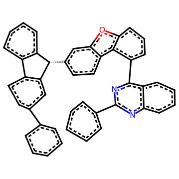 c1ccc(-c2ccc3c(c2)[C@@H](c2ccc4c(c2)oc2cccc(-c5nc(-c6ccccc6)nc6ccccc56)c24)c2ccccc2-3)cc1